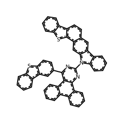 c1ccc2c(c1)sc1ccc(-c3nc(-n4c5ccccc5c5cc6ccc7c8ccccc8sc7c6cc54)nc4c5ccccc5c5ccccc5c34)cc12